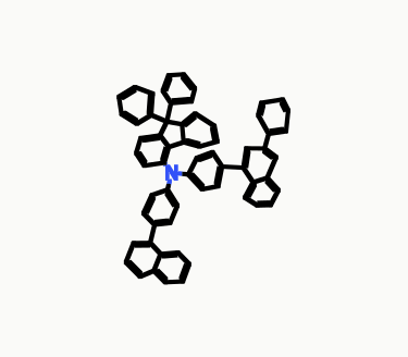 c1ccc(-c2cc(-c3ccc(N(c4ccc(-c5cccc6ccccc56)cc4)c4cccc5c4-c4ccccc4C5(c4ccccc4)c4ccccc4)cc3)c3ccccc3c2)cc1